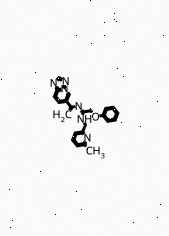 C=C(/N=C(/COc1ccccc1)NCc1cccc(C)n1)c1ccc2ncnn2c1